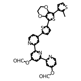 Cc1sccc1-c1sc(-c2ccc(-c3ccnc(-c4cc(OC=O)cc(-c5cc(OC=O)ccn5)n4)c3)s2)c2c1OCCO2